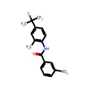 O=C(Nc1ccc(C(F)(C(F)(F)F)C(F)(F)F)cc1C(F)(F)F)c1cccc([N+](=O)[O-])c1